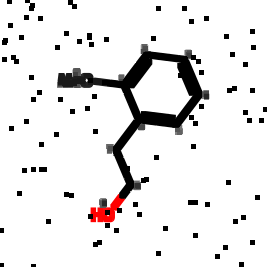 COc1ccccc1[CH]CO